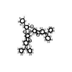 c1ccc(-c2cc3c4c(c2)Oc2cc5c(cc2B4c2cc4oc6cc(N(c7ccccc7)c7ccccc7)ccc6c4cc2O3)oc2cc(N(c3ccccc3)c3ccccc3)ccc25)cc1